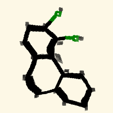 Clc1[c]cc2ccc3c[c]ccc3c2c1Cl